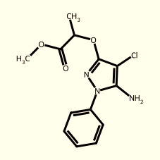 COC(=O)C(C)Oc1nn(-c2ccccc2)c(N)c1Cl